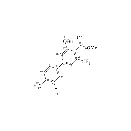 COC(=O)c1c(C(F)(F)F)cc(-c2ccc(C)c(F)c2)nc1OCC(C)C